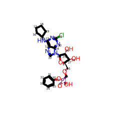 O=P(O)(COC[C@H]1O[C@@H](n2cnc3c(NC4CCCC4)nc(Cl)nc32)[C@H](O)[C@@H]1O)Oc1ccccc1